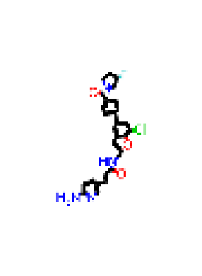 Nc1ccc(/C=C/C(=O)NCc2cc3cc(-c4ccc(C(=O)N5CCC(F)C5)cc4)cc(Cl)c3o2)cn1